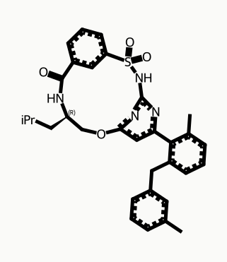 Cc1cccc(Cc2cccc(C)c2-c2cc3nc(n2)NS(=O)(=O)c2cccc(c2)C(=O)N[C@H](CC(C)C)CO3)c1